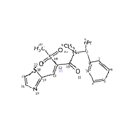 CCCC(c1ccccc1)N(C)C(=O)/C(=C/c1nccs1)S(C)(=O)=O